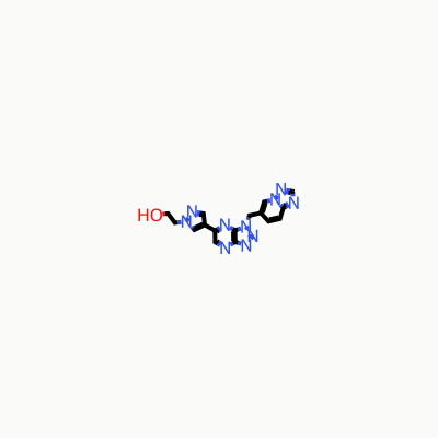 OCCn1cc(-c2cnc3nnn(Cc4ccc5ncnn5c4)c3n2)cn1